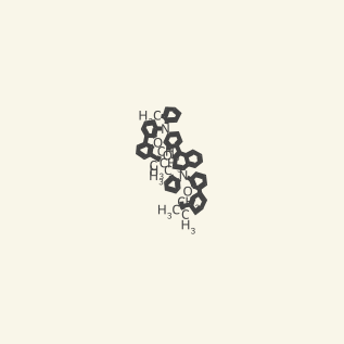 Cc1ccccc1N(c1ccc2c(c1)oc1cc(N(c3ccccc3C)c3cccc4c3oc3c(C(C)(C)C)cccc34)c3ccccc3c12)c1cccc2c1oc1c(C(C)(C)C)cccc12